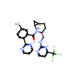 Cc1ccc(-c2ncccn2)c(C(=O)N2C3C[C@H]3CC[C@H]2CNc2nccc(C(F)(F)F)n2)c1